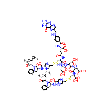 CC(C)C[C@@H](B=O)NC(=O)[C@H](Cc1ccccc1)NC(=O)c1cnc(CSSC[C@H](NC(=O)[C@H](CC(=O)O)NC(=O)[C@H](CC(=O)O)NC(=O)[C@H](CC(=O)O)NC(=O)[C@H](CSSCc2cnc(C(=O)N[C@@H](Cc3ccccc3)C(=O)N[C@H](B=O)CC(C)C)cn2)NC(=O)CC[C@H](NC(=O)c2ccc(NCc3cnc4nc(N)[nH]c(=O)c4n3)cc2)C(=O)O)C(=O)O)cn1